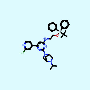 CC(C)N1CC2CC1CN2c1nc(NCCO[Si](c2ccccc2)(c2ccccc2)C(C)(C)C)cc(-c2ccnc(Cl)c2)n1